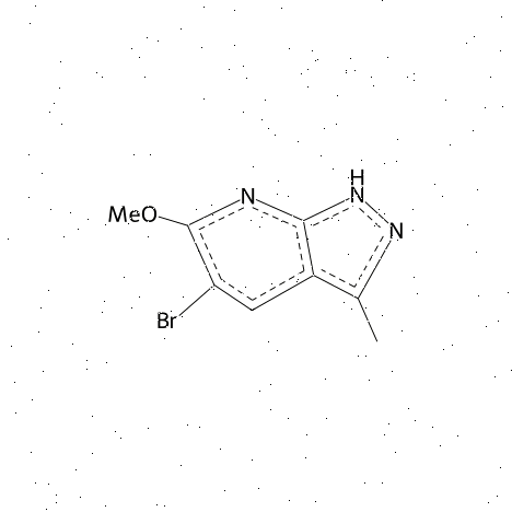 COc1nc2[nH]nc(C)c2cc1Br